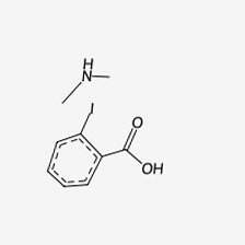 CNC.O=C(O)c1ccccc1I